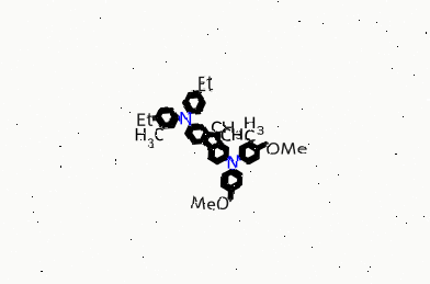 CCc1ccc(N(c2ccc(CC)c(C)c2)c2ccc3c(c2)C(C)(C)c2cc(N(c4ccc(COC)cc4)c4ccc(COC)c(C)c4)ccc2-3)cc1